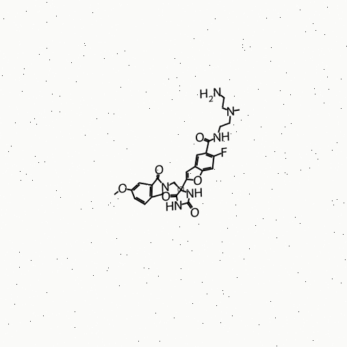 COc1ccc2c(c1)C(=O)N(C[C@@]1(c3cc4cc(C(=O)NCCN(C)CCN)c(F)cc4o3)NC(=O)NC1=O)C2